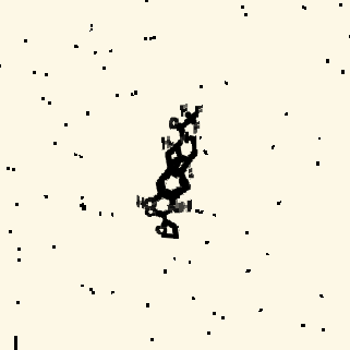 CC1(C)[C@H]2Cc3cc(O)c(NC(=O)[C@H]4CCCO4)cc3[C@]1(C)CCN2C(=O)C(F)(F)F